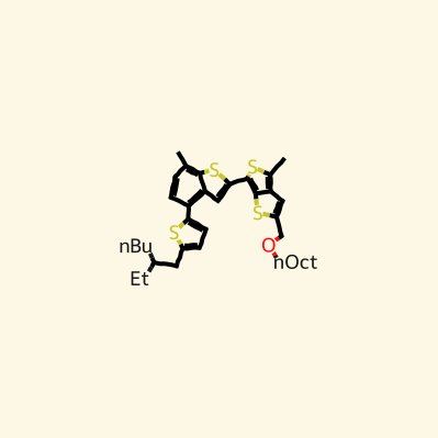 CCCCCCCCOCc1cc2c(C)sc(-c3cc4c(-c5ccc(CC(CC)CCCC)s5)ccc(C)c4s3)c2s1